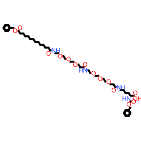 O=C(CCCCCCCCCCCCC(=O)OCc1ccccc1)NCCOCCOCCOCCC(=O)NCCOCCOCCOCCC(=O)NCCCCC(NC(=O)OCc1ccccc1)C(=O)O